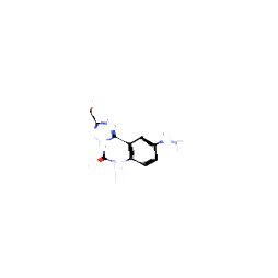 CCNc1ccc2[nH]c(=O)n3nc(CO)nc3c2c1